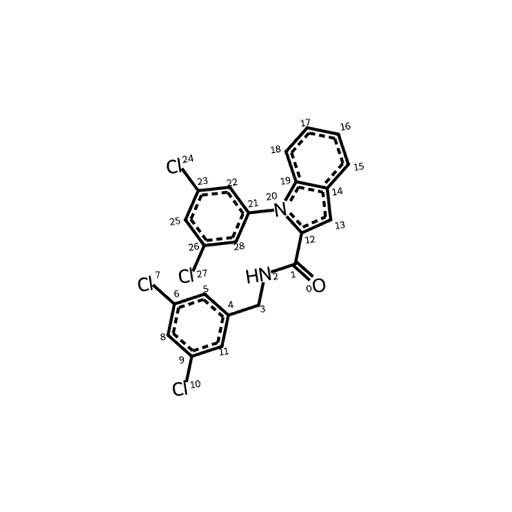 O=C(NCc1cc(Cl)cc(Cl)c1)c1cc2ccccc2n1-c1cc(Cl)cc(Cl)c1